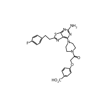 Nc1nc(N2CCN(C(=O)COc3ccc(C(=O)O)cc3)CC2)c2nc(CCc3ccc(F)cc3)sc2n1